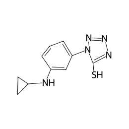 Sc1nnnn1-c1cccc(NC2CC2)c1